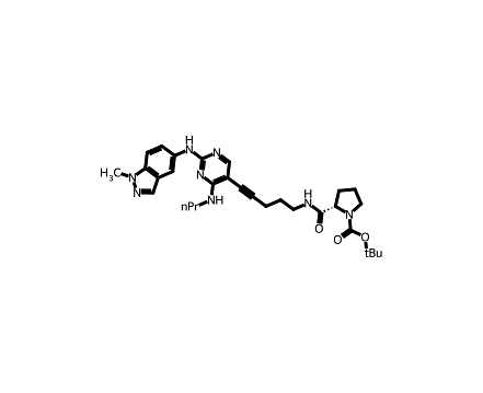 CCCNc1nc(Nc2ccc3c(cnn3C)c2)ncc1C#CCCCNC(=O)[C@@H]1CCCN1C(=O)OC(C)(C)C